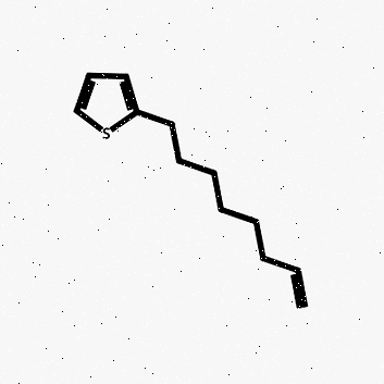 C=CCCCCCCc1cccs1